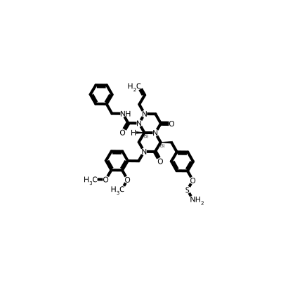 C=CCN1CC(=O)N2[C@@H](Cc3ccc(OSN)cc3)C(=O)N(Cc3cccc(OC)c3OC)C[C@@H]2N1C(=O)NCc1ccccc1